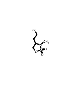 CC(C)CCC1COS(=O)(=O)N1C